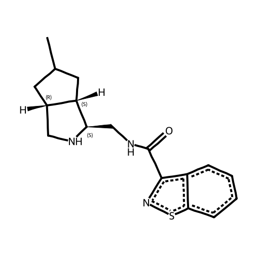 CC1C[C@H]2CN[C@H](CNC(=O)c3nsc4ccccc34)[C@H]2C1